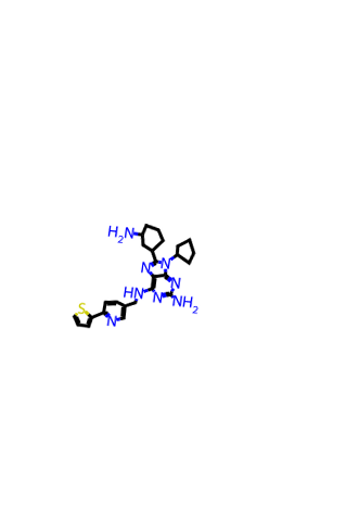 Nc1nc(NCc2ccc(-c3cccs3)nc2)c2nc(C3CCCC(N)C3)n(C3CCCC3)c2n1